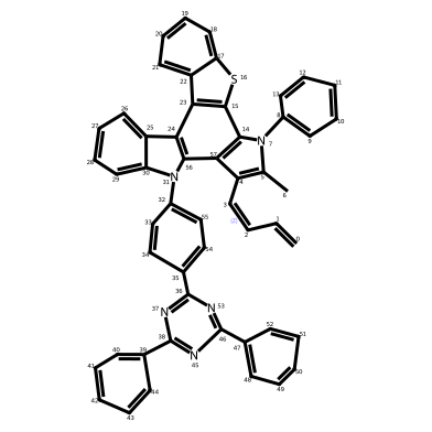 C=C/C=C\c1c(C)n(-c2ccccc2)c2c3sc4ccccc4c3c3c4ccccc4n(-c4ccc(-c5nc(-c6ccccc6)nc(-c6ccccc6)n5)cc4)c3c12